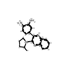 CC1CCCN1c1nc2ccccc2nc1-c1ccc(N)c(N)c1